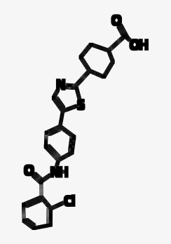 O=C(Nc1ccc(-c2cnc(C3CCC(C(=O)O)CC3)s2)cc1)c1ccccc1Cl